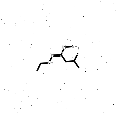 CCN/N=C(\CC(C)C)NN